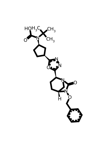 CC(C)(C)N(C(=O)O)[C@@H]1CC[C@H](c2nnc([C@@H]3CC[C@@H]4CN3C(=O)N4OCc3ccccc3)o2)C1